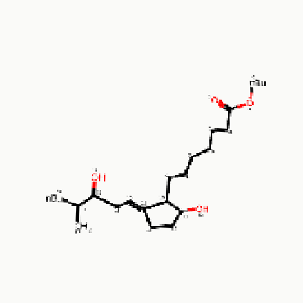 CCCCOC(=O)CCCCCC[C@@H]1C(=CCC(O)C(C)CCCC)CC[C@@H]1O